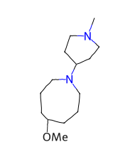 COC1CCCN(C2CCN(C)CC2)CCC1